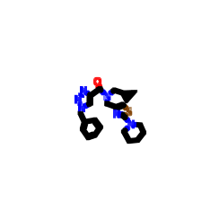 O=C(c1cn(Cc2ccccc2)nn1)N(Cc1csc(N2CCCCC2)n1)CC1CC1